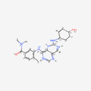 Cc1ccc(C(=O)N(C)C)cc1Nc1ncnc2cnc(NC3CCC(O)CC3)nc12